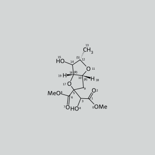 COC(=O)C(O)C1(C(=O)OC)C[C@H]2O[C@@H](C)C(O)[C@H]2O1